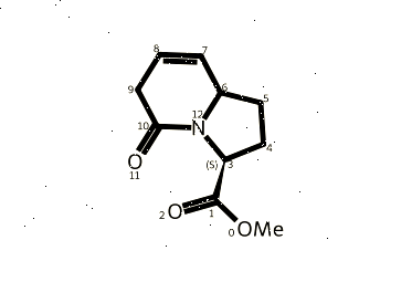 COC(=O)[C@@H]1CCC2C=CCC(=O)N21